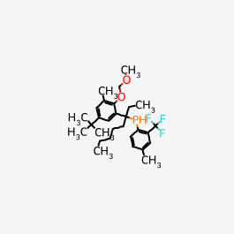 CCCCCC(CC)(Pc1ccc(C)cc1C(F)(F)F)c1cc(C(C)(C)C)cc(C)c1OCOC